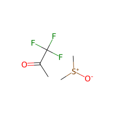 CC(=O)C(F)(F)F.C[S+](C)[O-]